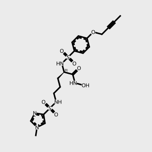 CC#CCOc1ccc(S(=O)(=O)N[C@H](CCCNS(=O)(=O)c2cn(C)cn2)C(=O)NO)cc1